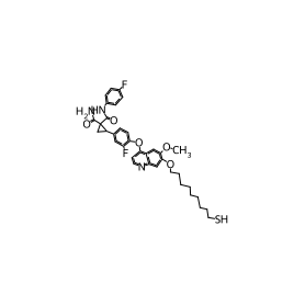 COc1cc2c(Oc3ccc(C4CC4(C(N)=O)C(=O)Nc4ccc(F)cc4)cc3F)ccnc2cc1OCCCCCCCCCS